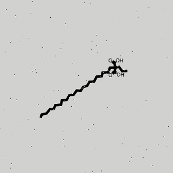 CCCCCCCCCCCCCCCCCCCCCCC(CCC)(C(=O)O)C(=O)O